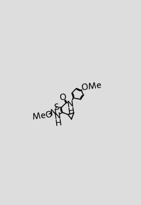 COc1ccc(NC(=O)C2=C(C3CC3)NN(OC)S2)cc1